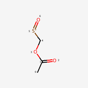 CC(=O)OC[S+]=O